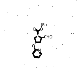 CC(C)(C)OC(=O)N1C[C@@H](Oc2ccccn2)C[C@@H]1C=O